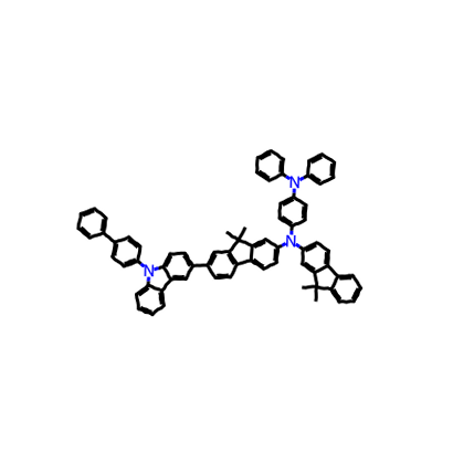 CC1(C)c2ccccc2-c2ccc(N(c3ccc(N(c4ccccc4)c4ccccc4)cc3)c3ccc4c(c3)C(C)(C)c3cc(-c5ccc6c(c5)c5ccccc5n6-c5ccc(-c6ccccc6)cc5)ccc3-4)cc21